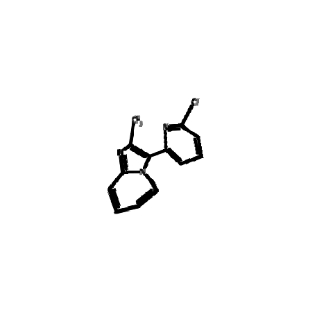 FC(F)(F)c1nc2ccccn2c1-c1cccc(Cl)n1